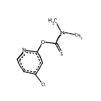 CN(C)C(=S)Oc1cc(Cl)ccn1